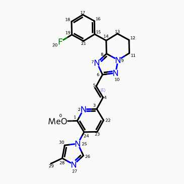 COc1nc(/C=C/c2nc3n(n2)CCCC3c2cccc(F)c2)ccc1-n1cnc(C)c1